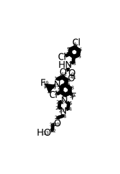 O=C(NCc1ccc(Cl)cc1Cl)Oc1cn([C@H]2C[C@H]2F)c2c(Cl)c(N3CCN(CCOCCO)CC3)c(F)cc2c1=O